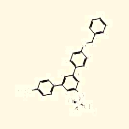 Cc1ccc(-c2cc(OS(=O)(=O)C(F)(F)F)cc(-c3ccc(OCc4ccccc4)cc3)c2)cc1